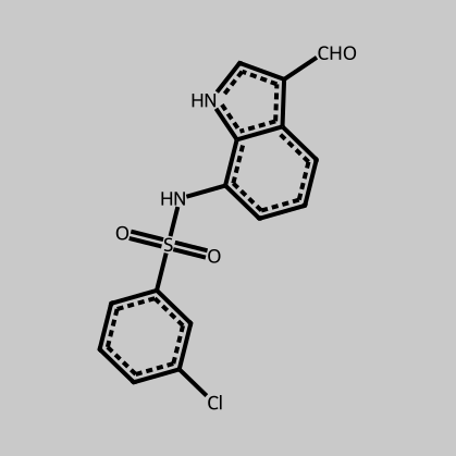 O=Cc1c[nH]c2c(NS(=O)(=O)c3cccc(Cl)c3)cccc12